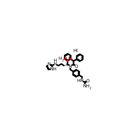 I.NC(=O)NCc1ccc(CN(C(=O)C(c2ccccc2)c2ccccc2)[C@H](CCCNc2ncc[nH]2)C(N)=O)cc1